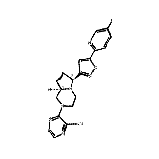 N#Cc1nccnc1N1CCN2[C@H](CC[C@H]2c2cc(-c3ccc(F)cn3)on2)C1